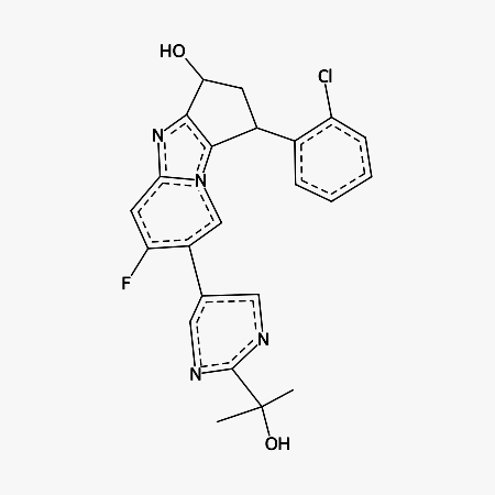 CC(C)(O)c1ncc(-c2cn3c4c(nc3cc2F)C(O)CC4c2ccccc2Cl)cn1